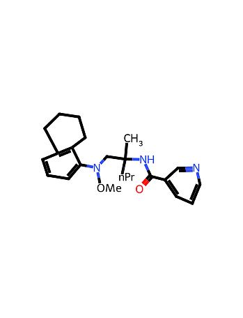 CCCC(C)(CN(OC)c1cccc2c1CCCC2)NC(=O)c1cccnc1